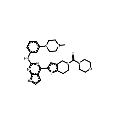 CN1CCN(c2cccc(Nc3nc(-c4cc5c(s4)CCN(C(=O)N4CCOCC4)C5)c4cc[nH]c4n3)c2)CC1